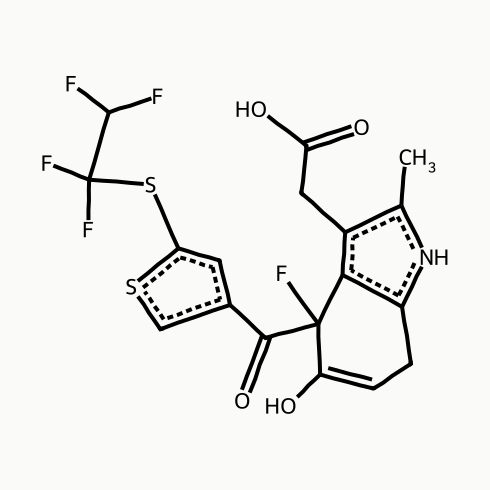 Cc1[nH]c2c(c1CC(=O)O)C(F)(C(=O)c1csc(SC(F)(F)C(F)F)c1)C(O)=CC2